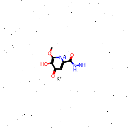 COc1[nH]c(C(=O)N[NH-])cc(=O)c1O.[K+]